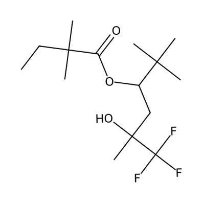 CCC(C)(C)C(=O)OC(CC(C)(O)C(F)(F)F)C(C)(C)C